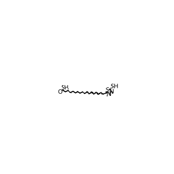 O=C(S)CCCCCCCCCCCCCCCCCc1nnc(S)s1